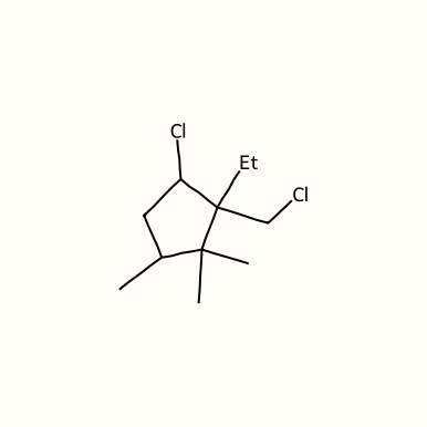 CCC1(CCl)C(Cl)CC(C)C1(C)C